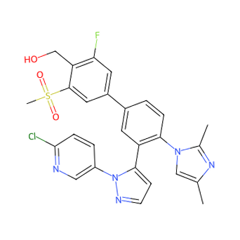 Cc1cn(-c2ccc(-c3cc(F)c(CO)c(S(C)(=O)=O)c3)cc2-c2ccnn2-c2ccc(Cl)nc2)c(C)n1